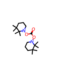 CC1(C)CCCN(OC(=O)ON2CCCC(C)(C)C2(C)C)C1(C)C